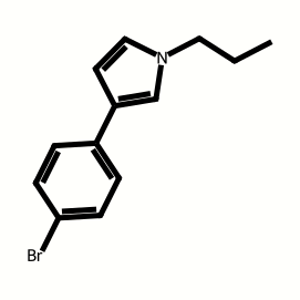 CCCn1ccc(-c2ccc(Br)cc2)c1